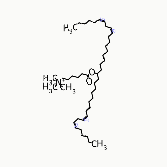 CCCCC/C=C\C/C=C\CCCCCCCCC(CCCCCCCC/C=C\C/C=C\CCCCC)OC(=O)CCCCC[N+](C)(C)C